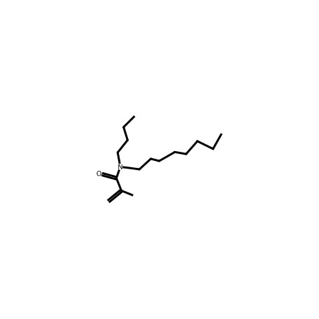 C=C(C)C(=O)N(CCCC)CCCCCCCC